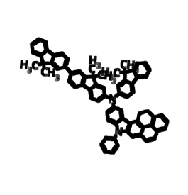 CC1(C)c2ccccc2-c2ccc(-c3ccc4c(c3)C(C)(C)c3cc(N(c5ccc6c(c5)C(C)(C)c5ccccc5-6)c5ccc6c(c5)c5c7c8c(ccc9cccc(c98)CC7)cc5n6-c5ccccc5)ccc3-4)cc21